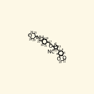 N#Cc1c(-c2ccc3c(c2)OCCO3)csc1OCc1ccc(CNC2CCOCC2)cc1